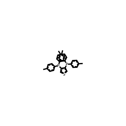 Cc1ccc(P(c2ccc(C)cc2)c2cscc2P(c2ccc(C)cc2)c2ccc(C)cc2)cc1